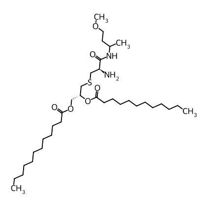 CCCCCCCCCCCC(=O)OC[C@H](CSC[C@H](N)C(=O)NC(C)CCOC)OC(=O)CCCCCCCCCCC